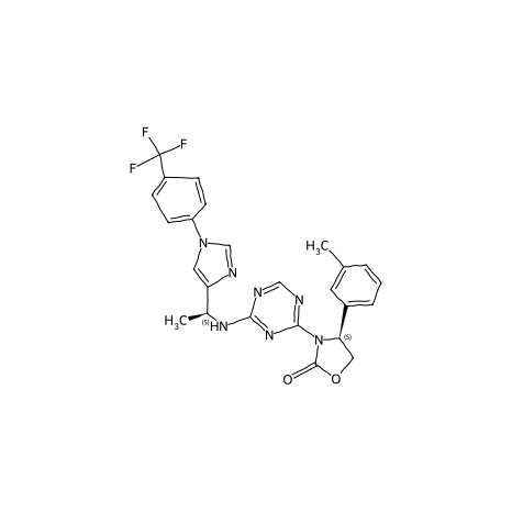 Cc1cccc([C@H]2COC(=O)N2c2ncnc(N[C@@H](C)c3cn(-c4ccc(C(F)(F)F)cc4)cn3)n2)c1